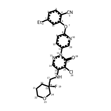 CCc1ccc(C#N)c(Oc2ccc(-n3ncc(NC[C@@]4(F)CCCOC4)c(Cl)c3=O)cn2)c1